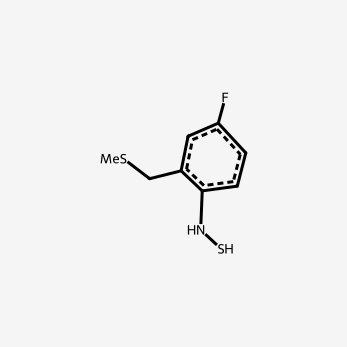 CSCc1cc(F)ccc1NS